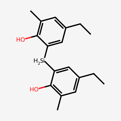 CCc1cc(C)c(O)c([SiH2]c2cc(CC)cc(C)c2O)c1